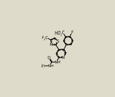 CCNC(=O)Nc1cc(-c2nc(C(F)(F)F)cs2)c(-c2ccc(F)c(C(=O)O)c2)cn1